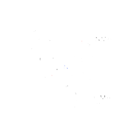 CNC(=O)Cc1c(C)n(C(=O)c2ccc(C)cc2)c2cc(Cl)c(OC)cc12